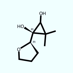 CC1(C)C(O)[C@@]1(O)[C@H]1CCCO1